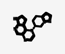 C1=CN([C@@H]2CCc3ccnn3C2)c2c(cnc3[nH]ccc23)N=1